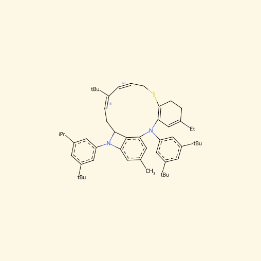 CCC1=CC2=C(CC1)SC/C=C\C(C(C)(C)C)=C/CC1c3c(cc(C)cc3N1c1cc(C(C)C)cc(C(C)(C)C)c1)N2c1cc(C(C)(C)C)cc(C(C)(C)C)c1